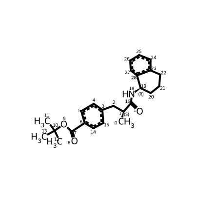 C[C@@H](Cc1ccc(C(=O)OC(C)(C)C)cc1)C(=O)N[C@@H]1CCCc2ccccc21